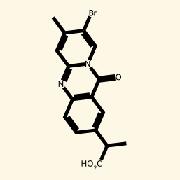 Cc1cc2nc3ccc(C(C)C(=O)O)cc3c(=O)n2cc1Br